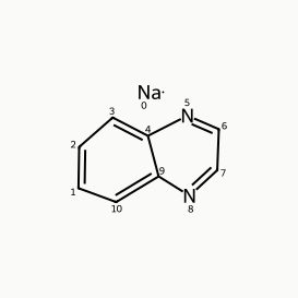 [Na].c1ccc2nccnc2c1